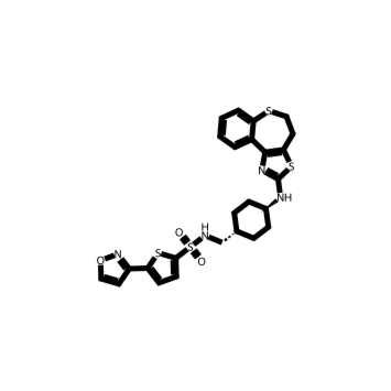 O=S(=O)(NC[C@H]1CC[C@H](Nc2nc3c(s2)CCSc2ccccc2-3)CC1)c1ccc(-c2ccon2)s1